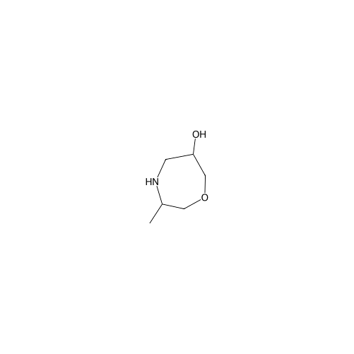 CC1COCC(O)CN1